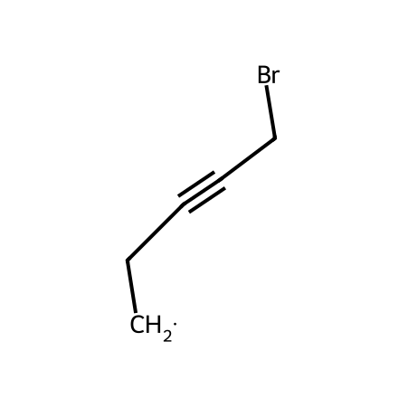 [CH2]CC#CCBr